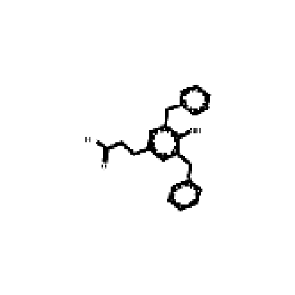 O=C(O)CCc1cc(Cc2ccccc2)c(O)c(Cc2ccccc2)c1